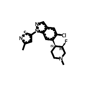 Cc1cc(-n2ncc3cc(Cl)c([C@@H]4CCN(C)C[C@@H]4F)cc32)sn1